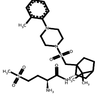 Cc1ccccc1N1CCN(S(=O)(=O)CC23CCC(C[C@@H]2NC(=O)[C@@H](N)CCS(C)(=O)=O)C3(C)C)CC1